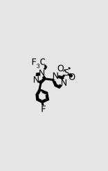 CS(=O)(=O)c1nccc(-c2c(-c3ccc(F)cc3)ncn2CC(F)(F)F)n1